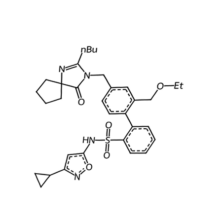 CCCCC1=NC2(CCCC2)C(=O)N1Cc1ccc(-c2ccccc2S(=O)(=O)Nc2cc(C3CC3)no2)c(COCC)c1